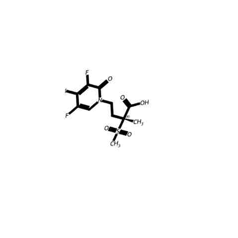 C[C@@](CCn1cc(F)c(I)c(F)c1=O)(C(=O)O)S(C)(=O)=O